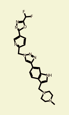 CN1CCN(Cc2c[nH]c3cc(-c4cn(Cc5ccc(-c6nnc(C(F)F)o6)cn5)nn4)ccc23)CC1